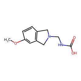 COc1ccc2c(c1)CN(CNC(=O)O)C2